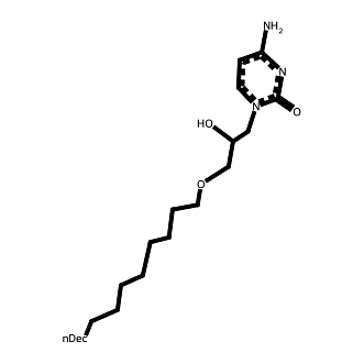 CCCCCCCCCCCCCCCCCCOCC(O)Cn1ccc(N)nc1=O